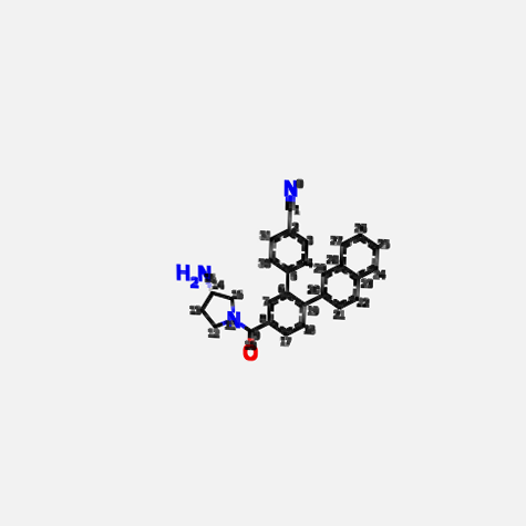 N#Cc1ccc(-c2cc(C(=O)N3CC[C@H](N)C3)ccc2-c2ccc3ccccc3c2)cc1